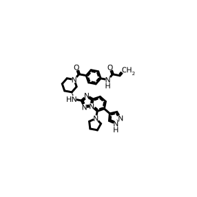 C=CC(=O)Nc1ccc(C(=O)N2CCC[C@@H](Nc3nc4ccc(-c5cn[nH]c5)c(N5CCCC5)n4n3)C2)cc1